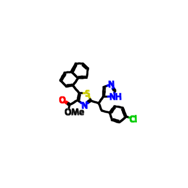 COC(=O)c1nc(C(Cc2ccc(Cl)cc2)c2cnc[nH]2)sc1-c1cccc2ccccc12